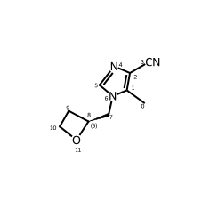 Cc1c(C#N)ncn1C[C@@H]1CCO1